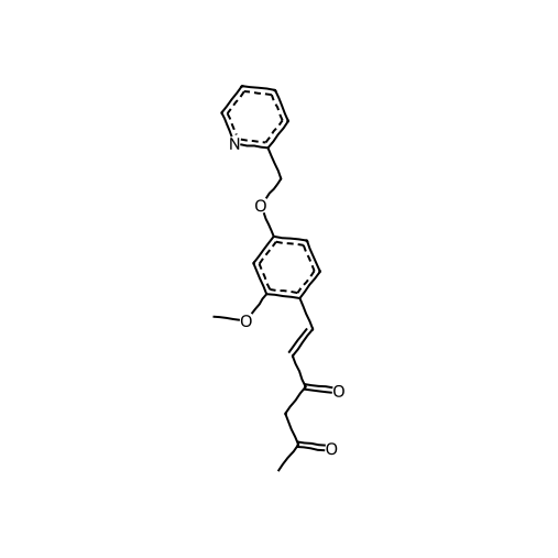 COc1cc(OCc2ccccn2)ccc1C=CC(=O)CC(C)=O